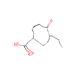 CCC1CC(C(=O)O)CCC1=O